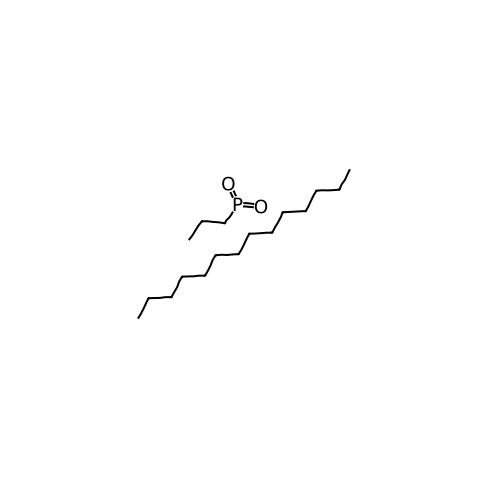 CCCCCCCCCCCCCC.CCCP(=O)=O